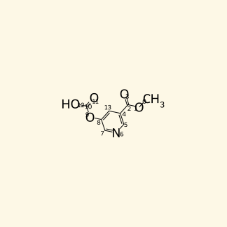 COC(=O)c1cncc(OC(=O)O)c1